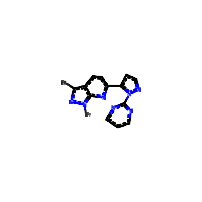 CCc1nn(C(C)C)c2nc(-c3ccnn3-c3ncccn3)ccc12